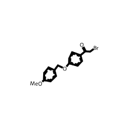 COc1ccc(COc2ccc(C(=O)CBr)cc2)cc1